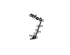 CCCC(C)(C)OC(O)N[C@@H](CCCCNC(=O)CCCC(=O)NCCCCN1N=C(c2ccc(NC(=O)N3Cc4ccncc4C3)cc2)C(C)CC1=O)C(=O)OC